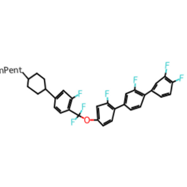 CCCCCC1CCC(c2ccc(C(F)(F)Oc3ccc(-c4ccc(-c5ccc(F)c(F)c5)c(F)c4)c(F)c3)c(F)c2)CC1